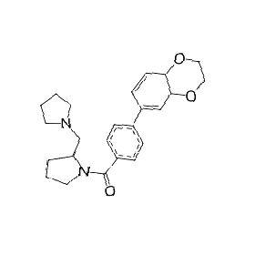 O=C(c1ccc(C2=CC3OCCOC3C=C2)cc1)N1CCCC1CN1CCCC1